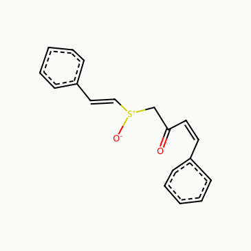 O=C(/C=C\c1ccccc1)C[S+]([O-])/C=C/c1ccccc1